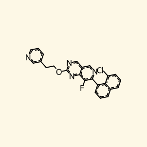 Fc1c(-c2cccc3cccc(Cl)c23)ncc2cnc(OCCc3cccnc3)nc12